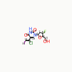 O=c1[nH]c(=O)n(C2CC(F)C(CO)O2)cc1C(Cl)=CI